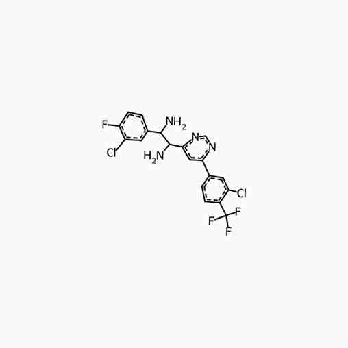 NC(c1ccc(F)c(Cl)c1)C(N)c1cc(-c2ccc(C(F)(F)F)c(Cl)c2)ncn1